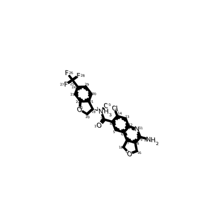 CN(C(=O)c1cc2c3c(c(N)nc2cc1Cl)COC3)[C@@H]1COc2cc(C(F)(F)F)ccc21